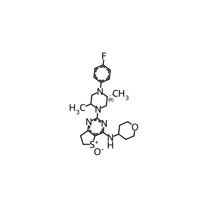 CC1CN(c2ccc(F)cc2)[C@H](C)CN1c1nc2c(c(NC3CCOCC3)n1)[S+]([O-])CC2